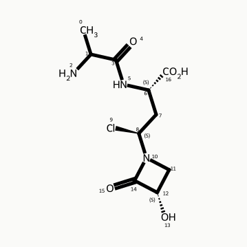 CC(N)C(=O)N[C@@H](C[C@H](Cl)N1C[C@H](O)C1=O)C(=O)O